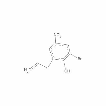 C=CCc1cc([N+](=O)[O-])cc(Br)c1O